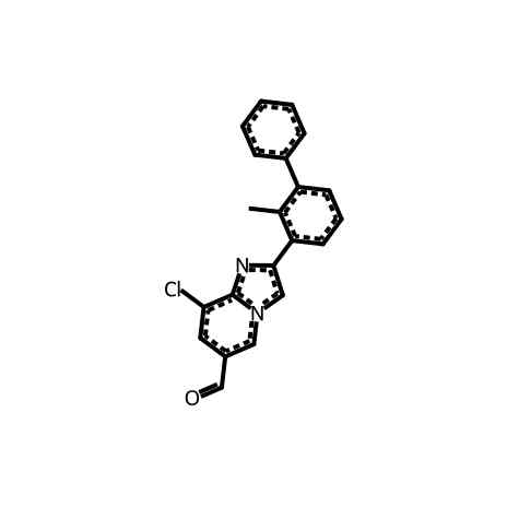 Cc1c(-c2ccccc2)cccc1-c1cn2cc(C=O)cc(Cl)c2n1